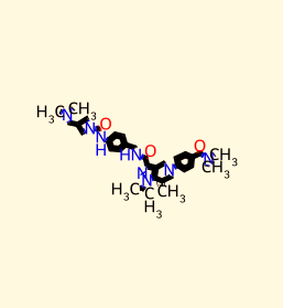 CC(C)n1nc(C(=O)NCc2ccc(NC(=O)N3CC(CN(C)C)C3)cc2)c2c1[C@@H](C)CN(c1ccc(C(=O)N(C)C)cc1)C2